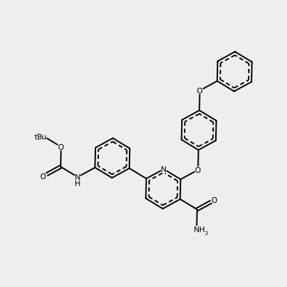 CC(C)(C)OC(=O)Nc1cccc(-c2ccc(C(N)=O)c(Oc3ccc(Oc4ccccc4)cc3)n2)c1